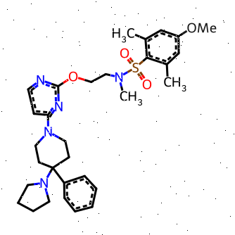 COc1cc(C)c(S(=O)(=O)N(C)CCOc2nccc(N3CCC(c4ccccc4)(N4CCCC4)CC3)n2)c(C)c1